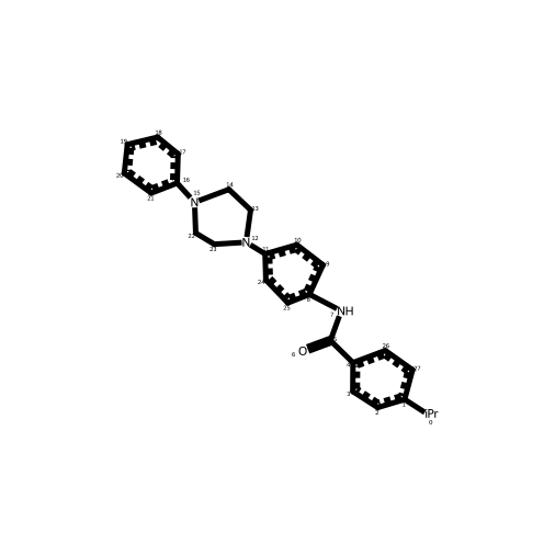 CC(C)c1ccc(C(=O)Nc2ccc(N3CCN(c4[c]cccc4)CC3)cc2)cc1